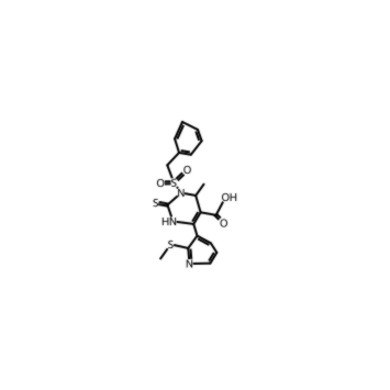 CSc1ncccc1C1=C(C(=O)O)C(C)N(S(=O)(=O)Cc2ccccc2)C(=S)N1